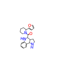 O=C(C1Nc2ccccc2C2NCCC12)N1CCCCC1c1ccco1